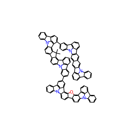 CC1(C)c2c(ccc3c2c2cccc4c5ccc(-c6cc7c8ccccc8n8c9ccc%10c%11ccc%12c(c%13cccc%14c%15ccccc%15n%12c%14%13)c%11oc%10c9c(c6)c78)cc5n3c42)-c2ccc3c(c21)c1c(-c2ccc4c(c2)c2cccc5c6cc7cc8c(cc7cc6n4c25)c2cccc4c5ccccc5n8c42)ccc2c4ccccc4n3c21